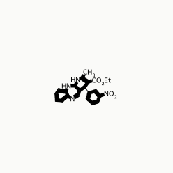 CCOC(=O)C1=C(C)NC2Nc3ccccc3N=CC2[C@H]1c1cccc([N+](=O)[O-])c1